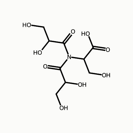 O=C(O)C(CO)N(C(=O)C(O)CO)C(=O)C(O)CO